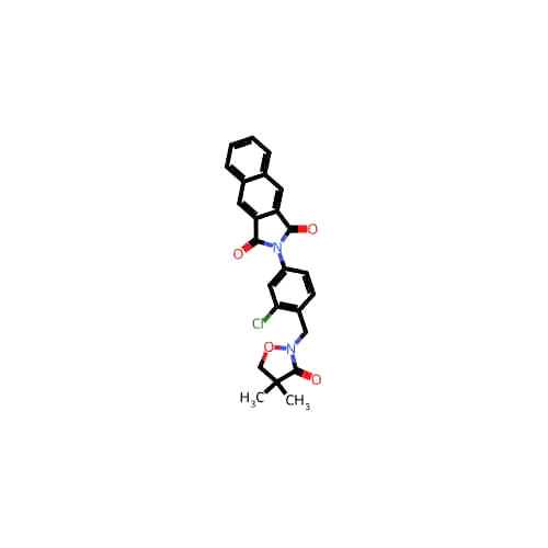 CC1(C)CON(Cc2ccc(N3C(=O)c4cc5ccccc5cc4C3=O)cc2Cl)C1=O